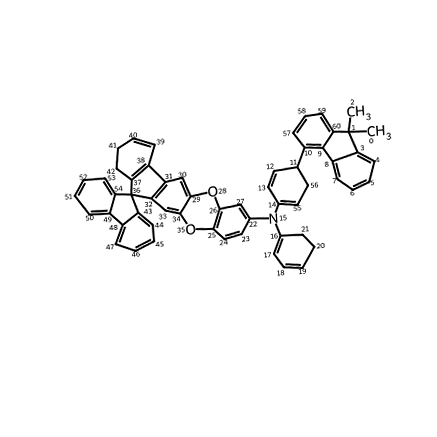 CC1(C)c2ccccc2-c2c(C3C=CC(N(C4=CC=CCC4)c4ccc5c(c4)Oc4cc6c(cc4O5)C4(C5=C6C=CCC5)c5ccccc5-c5ccccc54)=CC3)cccc21